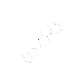 Cc1n[nH]c2c1CN([C@H]1CC[C@H](c3cc(F)c(F)cc3F)C(N)C1)C2